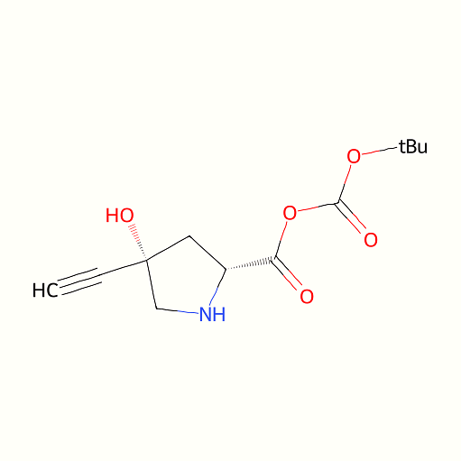 C#C[C@]1(O)CN[C@@H](C(=O)OC(=O)OC(C)(C)C)C1